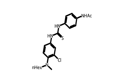 CCCCCCN(C)c1ccc(NC(=S)Nc2ccc(NC(C)=O)cc2)cc1Cl